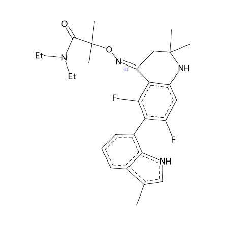 CCN(CC)C(=O)C(C)(C)O/N=C1\CC(C)(C)Nc2cc(F)c(-c3cccc4c(C)c[nH]c34)c(F)c21